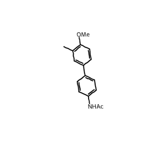 COc1ccc(-c2ccc(NC(C)=O)cc2)cc1C